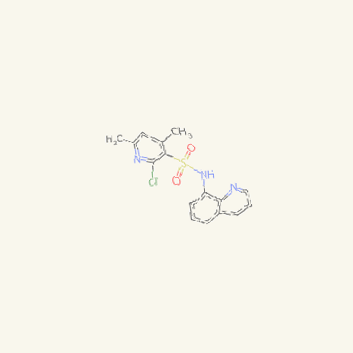 Cc1cc(C)c(S(=O)(=O)Nc2cccc3cccnc23)c(Cl)n1